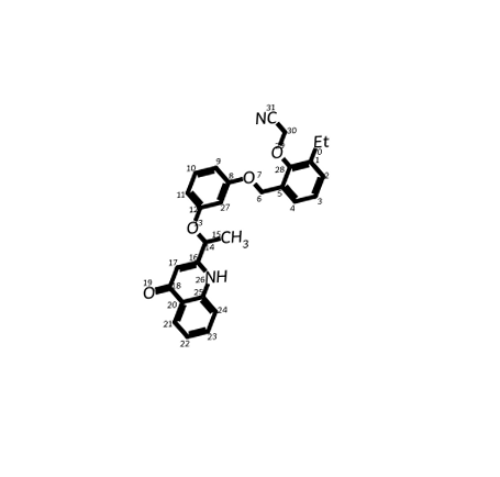 CCc1cccc(COc2cccc(OC(C)c3cc(=O)c4ccccc4[nH]3)c2)c1OCC#N